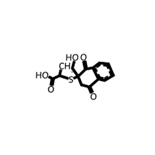 CC(SC1(CO)CC(=O)c2ccccc2C1=O)C(=O)O